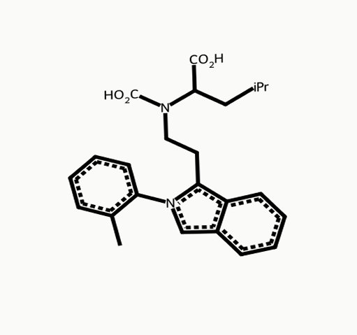 Cc1ccccc1-n1cc2ccccc2c1CCN(C(=O)O)C(CC(C)C)C(=O)O